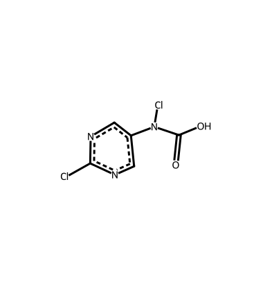 O=C(O)N(Cl)c1cnc(Cl)nc1